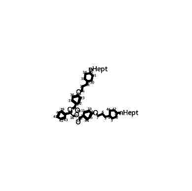 CCCCCCCC1CCC(CCCOc2ccc(C(=O)OC[C@H](OC(=O)c3ccc(OCCCC4CCC(CCCCCCC)CC4)cc3)c3ccccc3)cc2)CC1